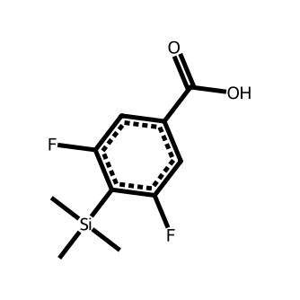 C[Si](C)(C)c1c(F)cc(C(=O)O)cc1F